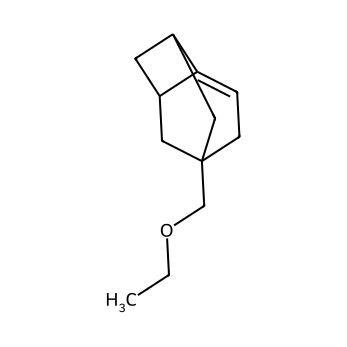 CCOCC12CC=C3C(CC3C1)C2